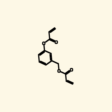 C=CC(=O)OCc1cccc(OC(=O)C=C)c1